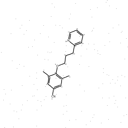 Cc1cc(C#N)cc(C)c1OCCCc1ccccn1